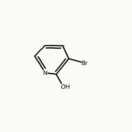 Oc1ncc[c]c1Br